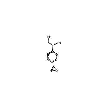 C1=NO1.N#CC(CBr)c1ccccc1